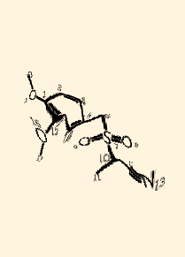 COc1ccc(CS(=O)(=O)C(C)C#N)cc1OC